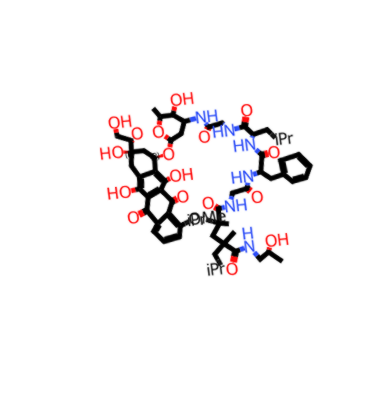 COc1cccc2c1C(=O)c1c(O)c3c(c(O)c1C2=O)C[C@](O)(C(=O)CO)C[C@H]3OC1CC(NC(=O)CNC(=O)C(CC(C)C)NC(=O)C(Cc2ccccc2)NC(=O)CNC(=O)C(C)(CC(C)(CC(C)C)C(=O)NCC(C)O)C(C)C)C(O)C(C)O1